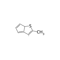 CC1=[C]C2=CC=CC2S1